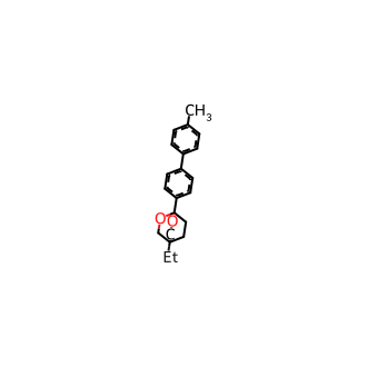 CCC12CCC(c3ccc(-c4ccc(C)cc4)cc3)(OC1)OC2